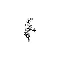 CC(C)(C)CNc1cc(-n2ncc3cc(C#N)cnc32)ncc1C(=O)NCC(F)C(C)(C)O